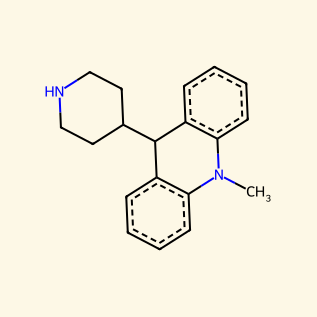 CN1c2ccccc2C(C2CCNCC2)c2ccccc21